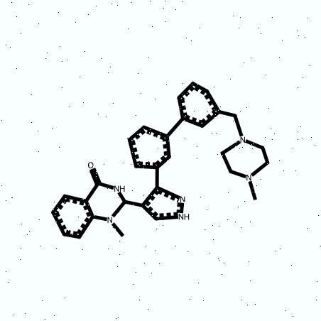 CN1CCN(Cc2cccc(-c3cccc(-c4n[nH]cc4C4NC(=O)c5ccccc5N4C)c3)c2)CC1